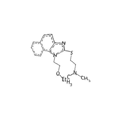 CCOCCn1c(SCCN(C)C)nc2ccc3ccccc3c21